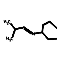 CC(C)C=NC1CCCCC1